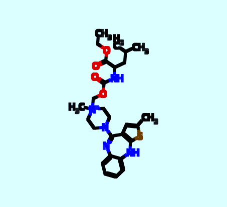 CCOC(=O)C(CC(C)C)NC(=O)OC[N+]1(C)CCN(C2=Nc3ccccc3Nc3sc(C)cc32)CC1